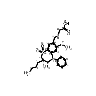 CCCC[C@]1(C)CN(c2ccccc2)c2cc(SC)c(CSCC(=O)O)cc2S(=O)(=O)C1